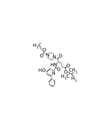 CCOC(=O)N1CCN(C(=O)C(CCC(=O)OC(C)(C)C)NC(=O)c2cc(O)cc(-c3ccccc3)n2)CC1